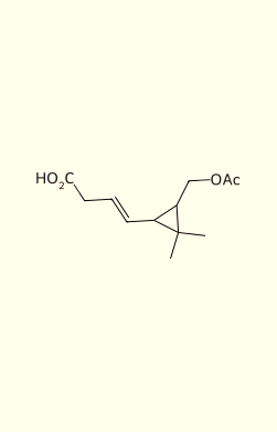 CC(=O)OCC1C(C=CCC(=O)O)C1(C)C